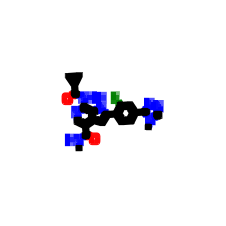 CNC(=O)c1cnc(NC(=O)C2CC2)c2[nH]c(-c3ccc(-c4nncn4C)cc3F)cc12